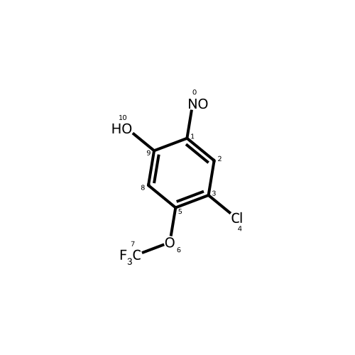 O=Nc1cc(Cl)c(OC(F)(F)F)cc1O